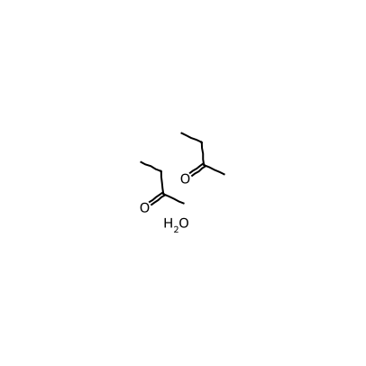 CCC(C)=O.CCC(C)=O.O